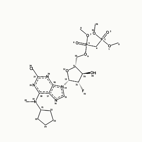 COP(=O)(CP(=O)(OC)OC[C@H]1O[C@@H](n2cnc3c(N(C)C4CCCC4)nc(Cl)nc32)[C@@H](F)[C@@H]1O)OC